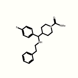 CNC(=O)N1CCC(C(NCCc2ccccc2)c2ccc(F)cc2)CC1